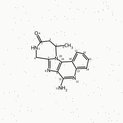 CC1CC(=O)NCc2nc3c(N)nc4ccccc4c3n21